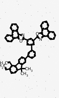 C=Cc1ccc2c(c1C=C)-c1ccc(-c3cccc(-c4cc(-c5nc6c7ccccc7c7ccccc7c6o5)cc(-c5nc6c7ccccc7c7ccccc7c6o5)c4)c3)cc1C2(C)C